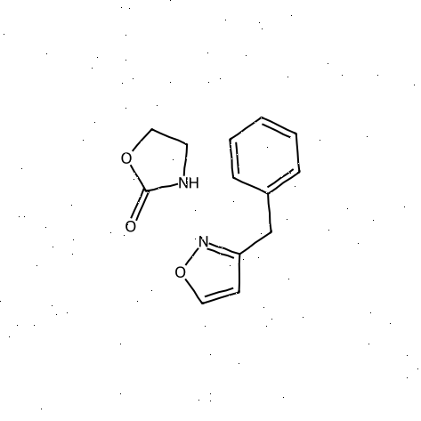 O=C1NCCO1.c1ccc(Cc2ccon2)cc1